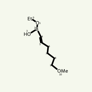 CCOB(O)C=CCCCCOC